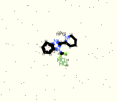 CCCN1CCCCC1c1nc2ccccc2n1C(F)F.Cl.Cl